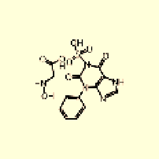 O=C(O)CNO.O=c1c2[nH]cnc2n(-c2ccccc2)c(=O)n1S(=O)(=O)O